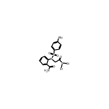 CCN(CC)C(=O)CN(c1ccccc1C(N)=O)S(=O)(=O)c1ccc(C(C)(C)C)cc1